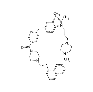 Cc1c(C)n(CCCN2CCN(C)CC2)c2ccc(Cc3ccc(C(=O)N4CCN(CCc5cccc6ccccc56)CC4)cc3)cc12